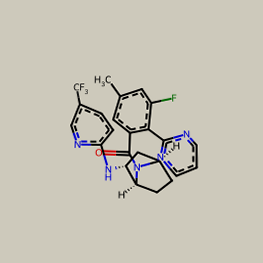 Cc1cc(F)c(-c2ncccn2)c(C(=O)N2[C@@H]3CC[C@H]2[C@H](Nc2ccc(C(F)(F)F)cn2)C3)c1